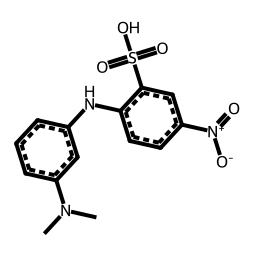 CN(C)c1cccc(Nc2ccc([N+](=O)[O-])cc2S(=O)(=O)O)c1